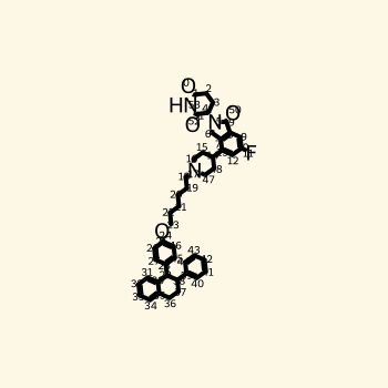 O=C1CCC(N2Cc3c(cc(F)cc3C3CCN(CCCCCCOc4ccc(C5c6ccccc6CCC5c5ccccc5)cc4)CC3)C2=O)C(=O)N1